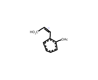 CC(=O)Oc1ccccc1/C=C\C(=O)O